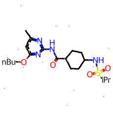 CCCCOc1cc(C)nc(NC(=O)C2CCC(NS(=O)(=O)C(C)C)CC2)n1